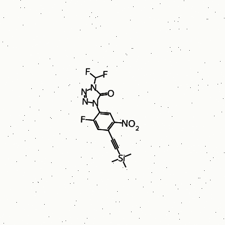 C[Si](C)(C)C#Cc1cc(F)c(-n2nnn(C(F)F)c2=O)cc1[N+](=O)[O-]